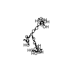 CC[C@@H]1C[C@@H](CO)CN1C(=O)CCN(CCOCCOCCO[C@@H]1OC(CO)[C@H](O)[C@H](O)C1NC(C)=O)CCOCCOCCO[C@@H]1OC(CO)[C@H](O)[C@H](O)C1NC(C)=O